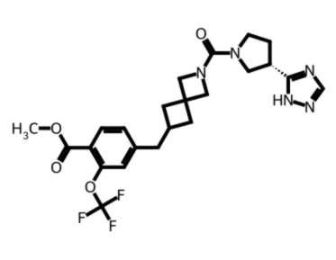 COC(=O)c1ccc(CC2CC3(C2)CN(C(=O)N2CC[C@H](c4ncn[nH]4)C2)C3)cc1OC(F)(F)F